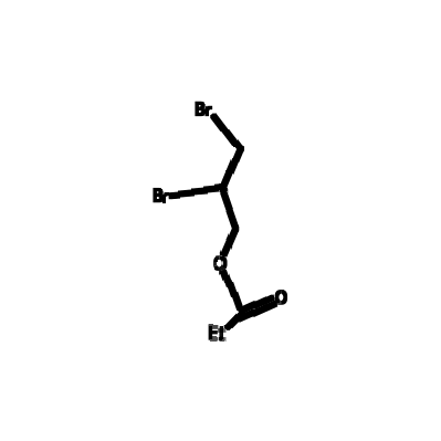 CCC(=O)OCC(Br)CBr